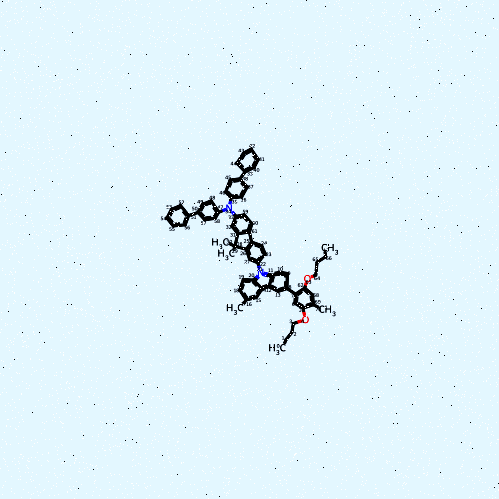 CCCCOc1cc(-c2ccc3c(c2)c2cc(C)ccc2n3-c2ccc3c(c2)C(C)(C)c2cc(N(c4ccc(-c5ccccc5)cc4)c4ccc(-c5ccccc5)cc4)ccc2-3)c(OCCCC)cc1C